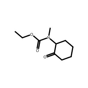 CCOC(=O)N(C)C1CCCCC1=O